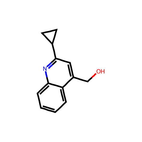 OCc1cc(C2CC2)nc2ccccc12